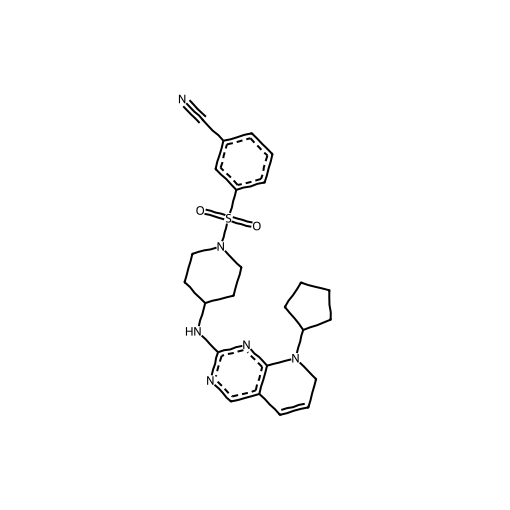 N#Cc1cccc(S(=O)(=O)N2CCC(Nc3ncc4c(n3)N(C3CCCC3)CC=C4)CC2)c1